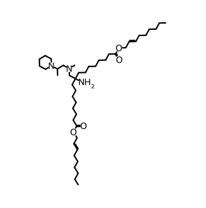 CCCCCC/C=C/COC(=O)CCCCCCCC(N)(CCCCCCCC(=O)OC/C=C/CCCCCC)CN(C)CC(C)N1CCCCC1